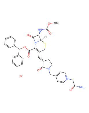 CC(C)(C)OC(=O)N[C@@H]1C(=O)N2C(C(=O)OC(c3ccccc3)c3ccccc3)=C(C=C3CCN(Cc4cc[n+](CC(N)=O)cc4)C3=O)CS[C@H]12.[Br-]